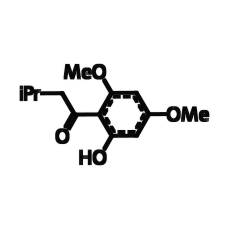 COc1cc(O)c(C(=O)CC(C)C)c(OC)c1